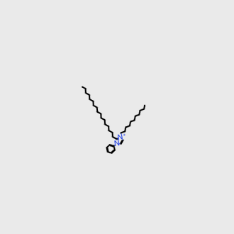 CCCCCCCCCCCCCCCCCc1n(-c2ccccc2)cc[n+]1CCCCCCCCCCC